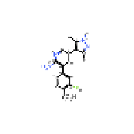 Cc1nn(C)c(C)c1-c1cnc(N)c(-c2ccc(C(=O)O)c(F)c2)c1